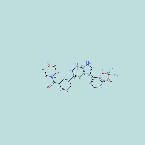 O=C(C1C=CCC(C2=Cc3c(C4=CCCC5=C4OC(F)(F)O5)c[nH]c3NC2)C1)N1CCOCC1